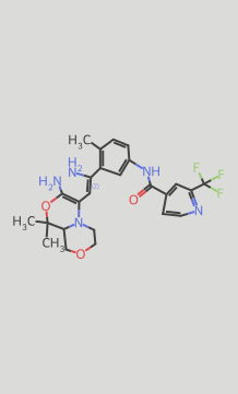 Cc1ccc(NC(=O)c2ccnc(C(F)(F)F)c2)cc1/C(N)=C/C1=C(N)OC(C)(C)C2COCCN12